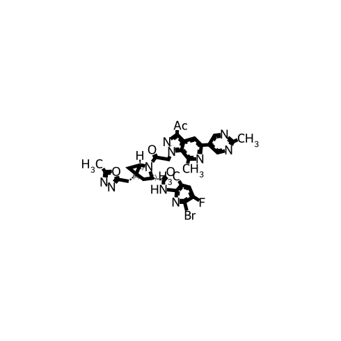 CC(=O)c1nn(CC(=O)N2[C@H](C(=O)Nc3nc(Br)c(F)cc3C)C[C@@]3(Cc4nnc(C)o4)C[C@@H]23)c2c(C)nc(-c3cnc(C)nc3)cc12